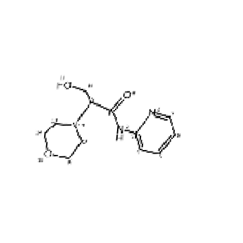 O=C(Nc1ccccn1)C(CO)N1CCOCC1